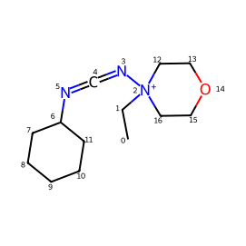 CC[N+]1(N=C=NC2CCCCC2)CCOCC1